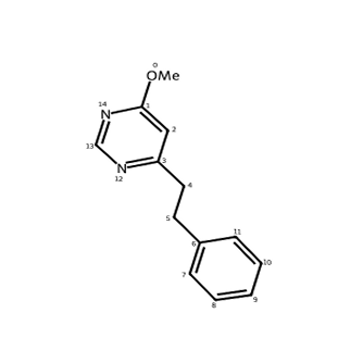 COc1cc(CCc2ccccc2)ncn1